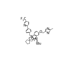 Cc1cnc(COc2ccc3c(c2)c(SC(C)(C)C)c(CC2(C(=O)O)CCCC2)n3Cc2ccc(-c3ccc(C(F)(F)F)cn3)cc2)cn1